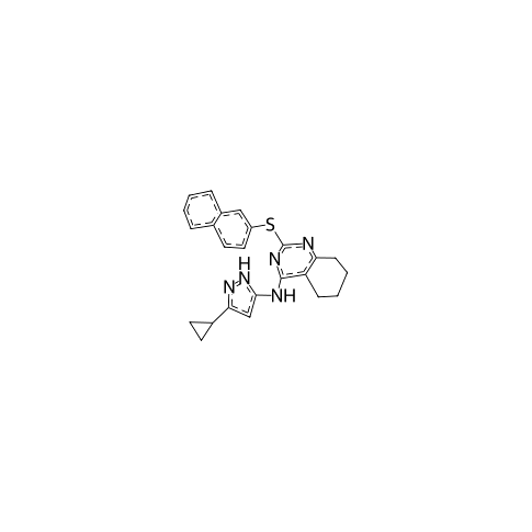 c1ccc2cc(Sc3nc4c(c(Nc5cc(C6CC6)n[nH]5)n3)CCCC4)ccc2c1